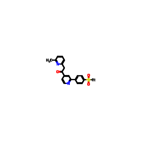 CCS(=O)(=O)c1ccc(-c2cc(C(=O)Cc3cccc(C)n3)ccn2)cc1